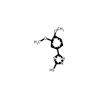 COc1ccc(-c2nnc(S)s2)cc1OC